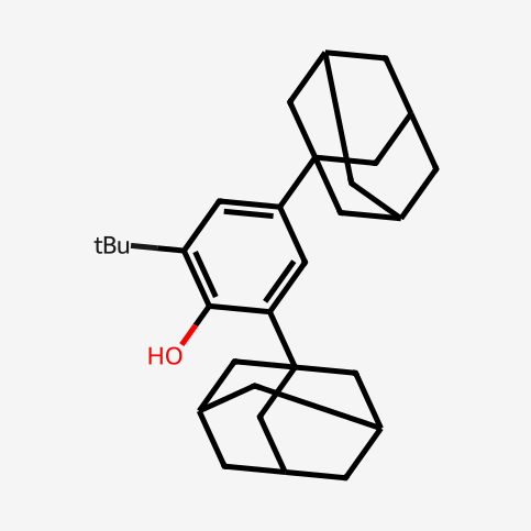 CC(C)(C)c1cc(C23CC4CC(CC(C4)C2)C3)cc(C23CC4CC(CC(C4)C2)C3)c1O